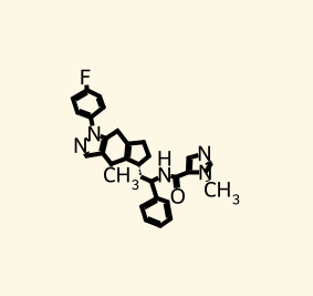 C[C@@H]1C2=C(CC[C@@H]2CC(NC(=O)c2cncn2C)c2ccccc2)Cc2c1cnn2-c1ccc(F)cc1